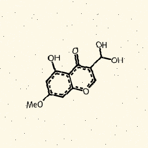 COc1cc(O)c2c(=O)c(C(O)O)coc2c1